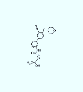 CC(O)C1C[C@H]1C(=O)Nc1cc(-c2ccc(OC3CCOCC3)c(C#N)c2)ccn1